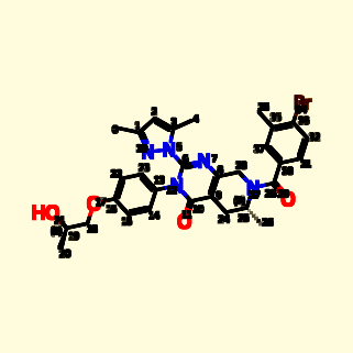 Cc1cc(C)n(-c2nc3c(c(=O)n2-c2ccc(OC[C@@H](C)O)cc2)C[C@@H](C)N(C(=O)c2ccc(Br)c(C)c2)C3)n1